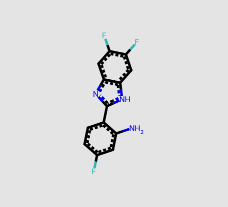 Nc1cc(F)ccc1-c1nc2cc(F)c(F)cc2[nH]1